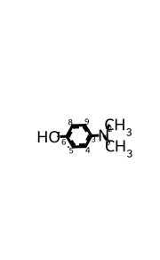 CN(C)c1c[c]c(O)cc1